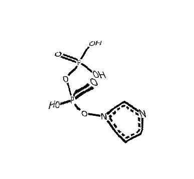 O=P(O)(O)OP(=O)(O)On1ccnc1